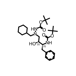 CC(C)(C)OC(=O)N[C@@H](Cc1ccccc1)[C@@H](O)CN(CC1CCCCC1)NC(=O)OC(C)(C)C